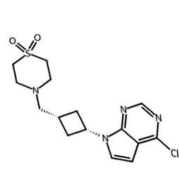 O=S1(=O)CCN(C[C@H]2C[C@@H](n3ccc4c(Cl)ncnc43)C2)CC1